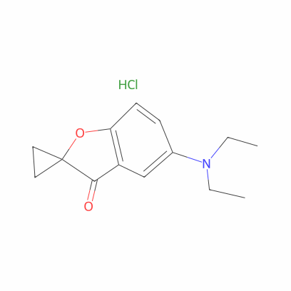 CCN(CC)c1ccc2c(c1)C(=O)C1(CC1)O2.Cl